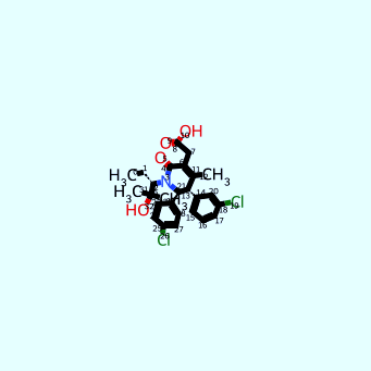 CC[C@H](N1C(=O)C(CC(=O)O)=C(C)[C@H](c2cccc(Cl)c2)[C@H]1c1ccc(Cl)cc1)C(C)(C)O